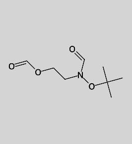 CC(C)(C)ON(C=O)CCOC=O